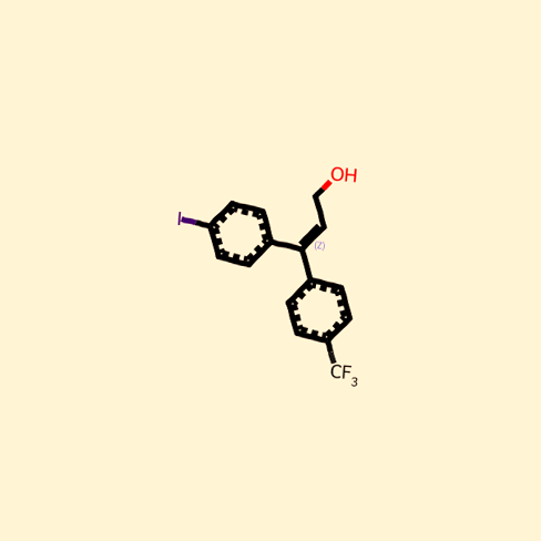 OC/C=C(\c1ccc(I)cc1)c1ccc(C(F)(F)F)cc1